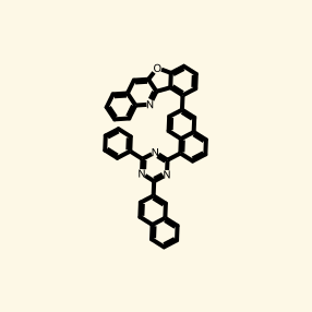 c1ccc(-c2nc(-c3ccc4ccccc4c3)nc(-c3cccc4cc(-c5cccc6oc7cc8ccccc8nc7c56)ccc34)n2)cc1